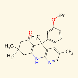 CC(C)Oc1cccc(C2(C)C3=C(CC(C)(C)CC3=O)Nc3ncc(C(F)(F)F)cc32)c1